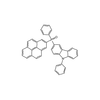 O=P(c1ccccc1)(c1cc2ccc3cccc4ccc(c1)c2c34)c1ccc2c(c1)c1ccccc1n2-c1ccccc1